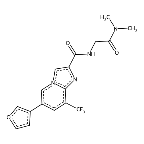 CN(C)C(=O)CNC(=O)c1cn2cc(-c3ccoc3)cc(C(F)(F)F)c2n1